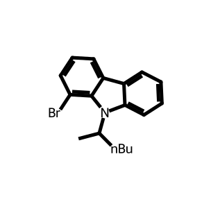 CCCCC(C)n1c2ccccc2c2cccc(Br)c21